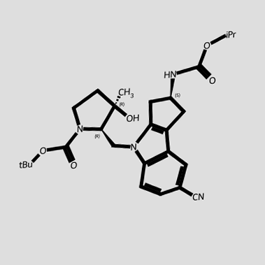 CC(C)OC(=O)N[C@H]1Cc2c(n(C[C@H]3N(C(=O)OC(C)(C)C)CC[C@@]3(C)O)c3ccc(C#N)cc23)C1